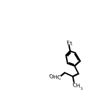 CCc1ccc(CC(C)CC=O)cc1